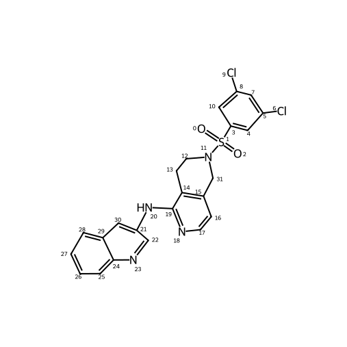 O=S(=O)(c1cc(Cl)cc(Cl)c1)N1CCc2c(ccnc2Nc2cnc3ccccc3c2)C1